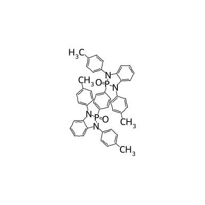 Cc1ccc(N2c3ccccc3N(c3ccc(C)cc3)P2(=O)c2ccc(P3(=O)N(c4ccc(C)cc4)c4ccccc4N3c3ccc(C)cc3)cc2)cc1